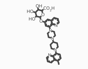 Cc1ccc(N2CCC(N3CCN(c4cc(OC5OC(C(=O)O)C(O)C(O)C5O)cc5cccnc45)CC3)CC2)c2ncccc12